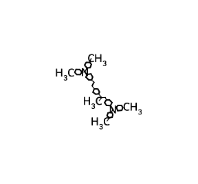 Cc1ccc(N(c2ccc(C)cc2)c2ccc(/C=C/c3ccc(C(C)Cc4ccc(N(c5ccc(C)cc5)c5ccc(C)cc5)cc4)cc3)cc2)cc1